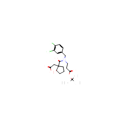 CC(C)(C)OC(=O)CCN(Cc1ccc(Cl)c(Cl)c1)C(=O)C1(CC(=O)O)CCCC1